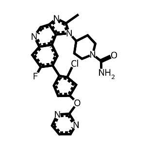 Cc1nc2cnc3cc(F)c(-c4ccc(Oc5ncccn5)cc4Cl)cc3c2n1C1CCN(C(N)=O)CC1